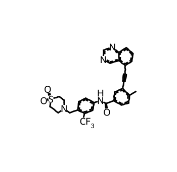 Cc1ccc(C(=O)Nc2ccc(CN3CCS(=O)(=O)CC3)c(C(F)(F)F)c2)cc1C#Cc1cccc2ncncc12